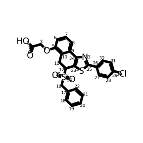 O=C(O)COc1cccc2c1CC(S(=O)(=O)Cc1ccccc1)c1sc(-c3ccc(Cl)cc3)nc1-2